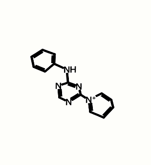 c1ccc(Nc2ncnc(-[n+]3ccccc3)n2)cc1